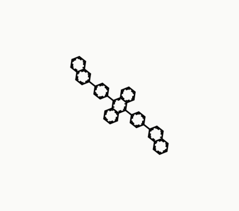 c1ccc2cc(-c3ccc(-c4c5ccccc5c(-c5ccc(-c6ccc7ccccc7c6)cc5)c5ccccc45)cc3)ccc2c1